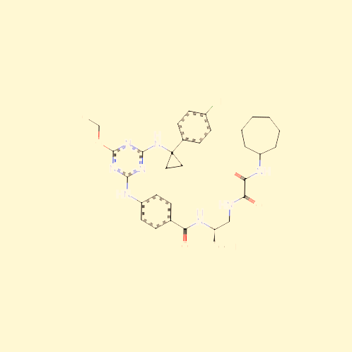 O=C(NC[C@H](NC(=O)c1ccc(Nc2nc(NC3(c4ccc(Cl)cc4)CC3)nc(OCC(F)(F)F)n2)cc1)C(=O)O)C(=O)NC1CCCCCC1